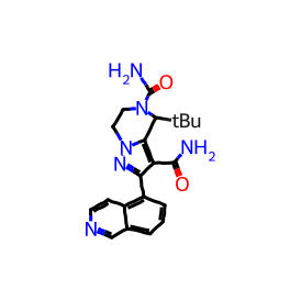 CC(C)(C)C1c2c(C(N)=O)c(-c3cccc4cnccc34)nn2CCN1C(N)=O